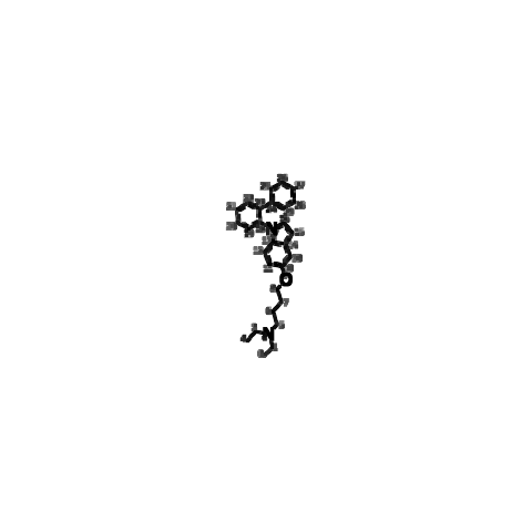 CCN(CC)CCCCOc1ccc2c(ccn2-c2ccccc2-c2ccccc2)c1